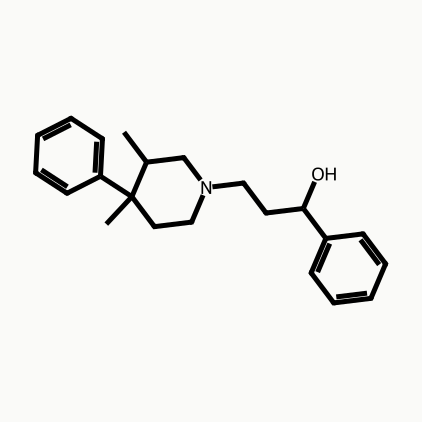 CC1CN(CCC(O)c2ccccc2)CCC1(C)c1ccccc1